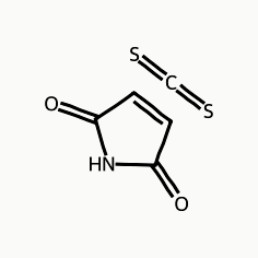 O=C1C=CC(=O)N1.S=C=S